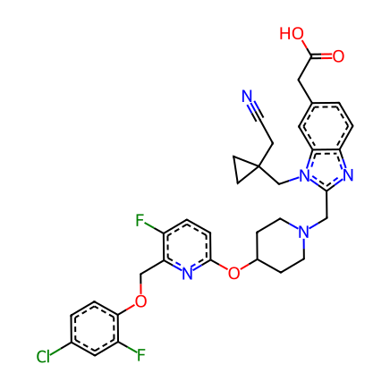 N#CCC1(Cn2c(CN3CCC(Oc4ccc(F)c(COc5ccc(Cl)cc5F)n4)CC3)nc3ccc(CC(=O)O)cc32)CC1